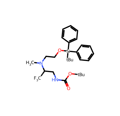 CN(CCO[Si](c1ccccc1)(c1ccccc1)C(C)(C)C)C(CNC(=O)OC(C)(C)C)C(F)(F)F